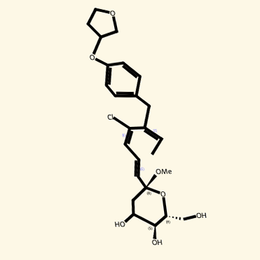 C\C=C(Cc1ccc(OC2CCOC2)cc1)/C(Cl)=C\C=C\[C@@]1(OC)CC(O)[C@H](O)[C@@H](CO)O1